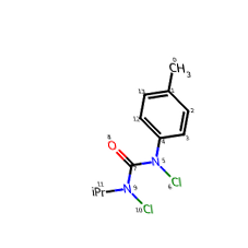 Cc1ccc(N(Cl)C(=O)N(Cl)C(C)C)cc1